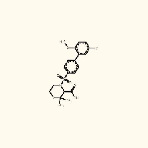 COc1ccc(Cl)cc1-c1ccc(S(=O)(=O)N2CCSC(C)(C)C2C(=O)O)cc1